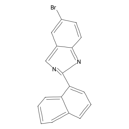 Brc1ccc2nc(-c3cccc4ccccc34)ncc2c1